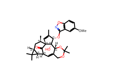 COc1ccc2onc(O[C@H]3C(C)=C[C@]45C(=O)[C@@H](C=C6COC(C)(C)O[C@H]6[C@]34O)[C@H]3[C@@H](C[C@H]5C)C3(C)C)c2c1